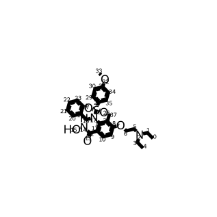 CCN(CC)CCOc1ccc(C(=O)NO)c(N(Cc2ccccc2)S(=O)(=O)c2ccc(OC)cc2)c1C